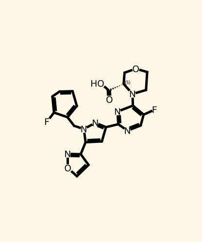 O=C(O)[C@@H]1COCCN1c1nc(-c2cc(-c3ccon3)n(Cc3ccccc3F)n2)ncc1F